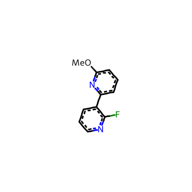 COc1cccc(-c2cccnc2F)n1